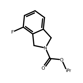 CC(C)OC(=O)N1Cc2cccc(F)c2C1